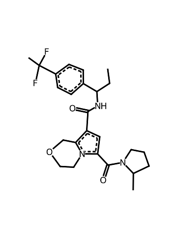 CCC(NC(=O)c1cc(C(=O)N2CCCC2C)n2c1COCC2)c1ccc(C(C)(F)F)cc1